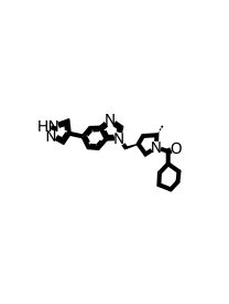 C[C@H]1C[C@H](Cn2cnc3cc(-c4cn[nH]c4)ccc32)CN1C(=O)C1CCCCC1